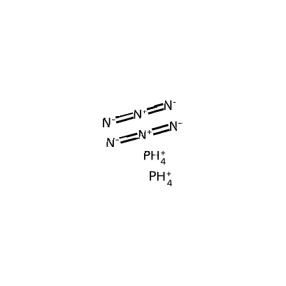 [N-]=[N+]=[N-].[N-]=[N+]=[N-].[PH4+].[PH4+]